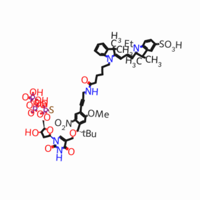 CC[N+]1=C(/C=C/C=C2/N(CCCCCC(=O)NCC#Cc3cc([N+](=O)[O-])c([C@@H](OCc4cn([C@H]5C[C@@H](O)[C@@H](COP(O)(=S)OP(=O)(O)OP(=O)(O)O)O5)c(=O)[nH]c4=O)C(C)(C)C)cc3OC)c3ccccc3C2(C)C)C(C)(C)c2cc(S(=O)(=O)O)ccc21